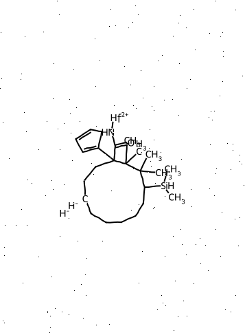 C[SiH](C)C1CCCCCCCCC(C(=O)[NH][Hf+2])(C2=CC=CC2)C(C)(C)C1(C)C.[H-].[H-]